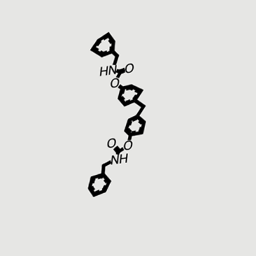 O=C(NCc1ccccc1)Oc1ccc(Cc2ccc(OC(=O)NCc3ccccc3)cc2)cc1